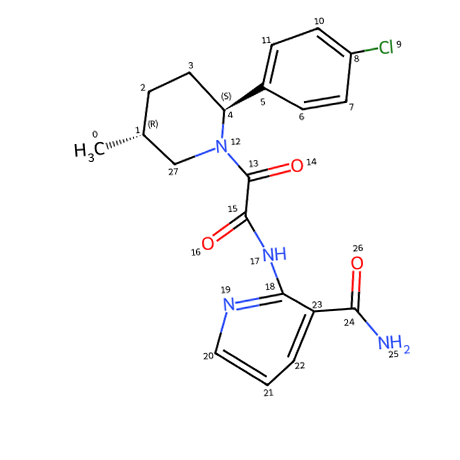 C[C@@H]1CC[C@@H](c2ccc(Cl)cc2)N(C(=O)C(=O)Nc2ncccc2C(N)=O)C1